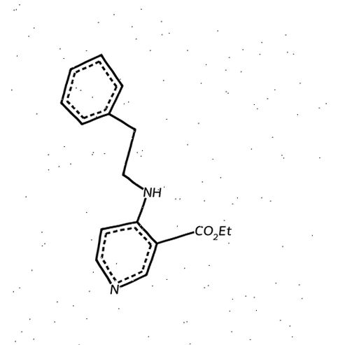 CCOC(=O)c1cnccc1NCCc1ccccc1